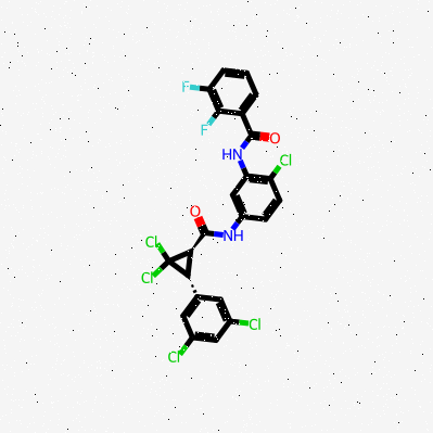 O=C(Nc1cc(NC(=O)[C@H]2[C@H](c3cc(Cl)cc(Cl)c3)C2(Cl)Cl)ccc1Cl)c1cccc(F)c1F